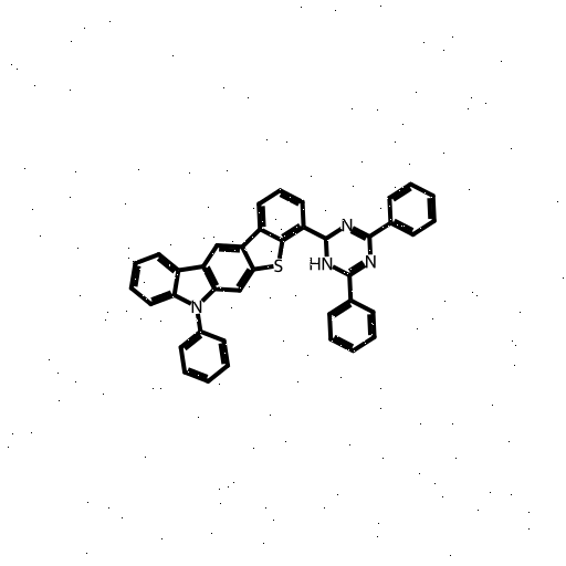 c1ccc(C2=NC(c3cccc4c3sc3cc5c(cc34)c3ccccc3n5-c3ccccc3)NC(c3ccccc3)=N2)cc1